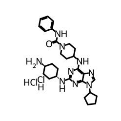 Cl.Cl.N[C@H]1CC[C@H](Nc2nc(NC3CCN(C(=O)Nc4ccccc4)CC3)c3ncn(C4CCCC4)c3n2)CC1